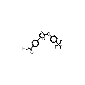 O=C(O)c1ccc(-c2csc(Oc3ccc(C(F)(F)F)cc3)n2)cc1